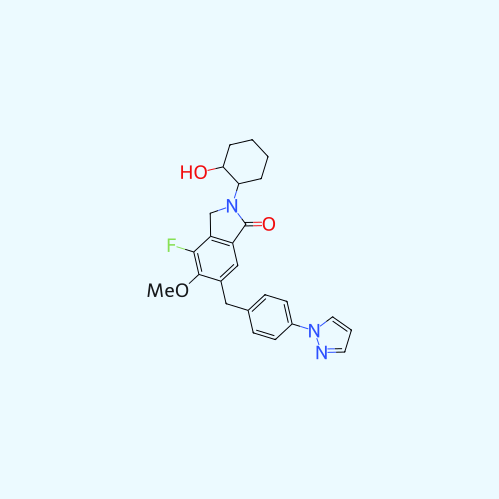 COc1c(Cc2ccc(-n3cccn3)cc2)cc2c(c1F)CN(C1CCCCC1O)C2=O